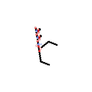 CCCCCCCC/C=C\CCCCCCCCOCC(COC(=O)NCCOC(=O)CN(CCOC(=O)CN(CCOC)C(=O)OC(C)(C)C)C(=O)OC(C)(C)C)OCCCCCCCC/C=C\CCCCCCCC